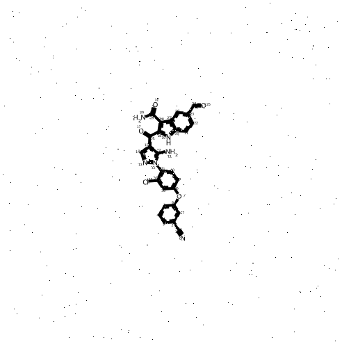 N#Cc1cccc(Oc2ccc(-n3ncc(C(=O)c4[nH]c5ccc([C]=O)cc5c4C(N)=O)c3N)c(Cl)c2)c1